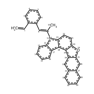 C=Cc1ccccc1/C=C(\C)n1c2ccccc2c2c3c(ccc21)oc1cc2ccccc2cc13